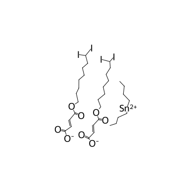 CCC[CH2][Sn+2][CH2]CCC.O=C([O-])C=CC(=O)OCCCCCCCC(I)I.O=C([O-])C=CC(=O)OCCCCCCCC(I)I